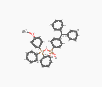 CC(C)(C)Oc1ccc(S(OS(=O)(=O)c2ccc(C(c3ccccc3)c3ccccc3)cc2)(c2ccccc2)c2ccccc2)cc1